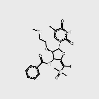 COCCO[C@@H]1[C@H](OC(=O)c2ccccc2)/C(=C(/F)P(C)(C)=O)O[C@H]1n1cc(C)c(=O)[nH]c1=O